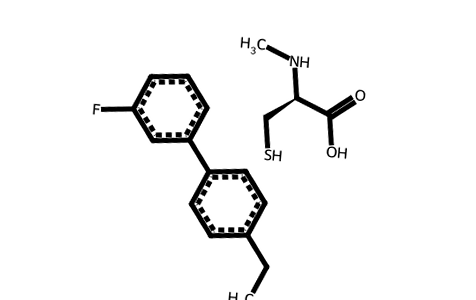 CCc1ccc(-c2cccc(F)c2)cc1.CN[C@H](CS)C(=O)O